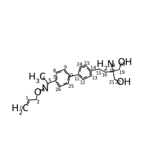 C=CCON=C(C)c1ccc(-c2ccc(CCC(N)(CO)CO)cc2)cc1